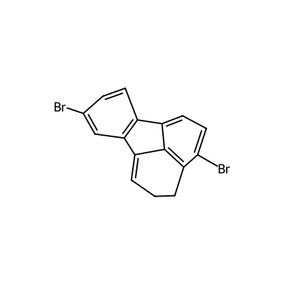 Brc1ccc2c(c1)C1=CCCc3c(Br)ccc-2c31